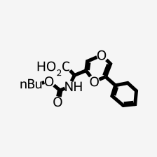 CCCCOC(=O)NC(C(=O)O)C1=COC=C(C2=CC=CCC2)O1